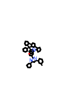 Cc1cccc(-c2cc(-c3ccccc3)nc(-c3cccc(-n4c5ccccc5c5ccc6c(c54)C(c4ccccc4)(c4ccccc4)c4ccccc4-6)c3)n2)c1